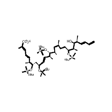 C=CC=C[C@H](C)[C@H](O)[C@@H](C)[C@H](CC[C@H](C)C[C@@H](C)[C@@H](O[Si](C)(C)C(C)(C)C)[C@@H](C)C=C[C@H](C[C@H](O[Si](C)(C)C(C)(C)C)[C@@H](C)C=CC=C(C)C(=O)O)O[Si](C)(C)C(C)(C)C)O[Si](C)(C)C(C)(C)C